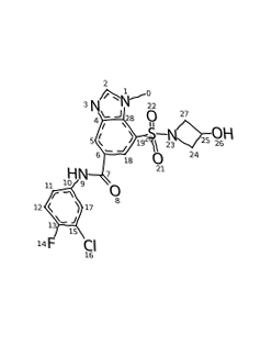 Cn1cnc2cc(C(=O)Nc3ccc(F)c(Cl)c3)cc(S(=O)(=O)N3CC(O)C3)c21